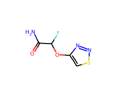 NC(=O)C(F)Oc1csnn1